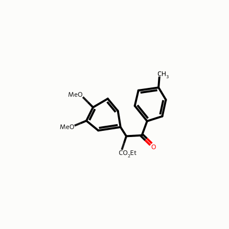 CCOC(=O)C(C(=O)c1ccc(C)cc1)c1ccc(OC)c(OC)c1